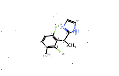 Cc1ccc(F)c(C(C)c2ncc[nH]2)c1F